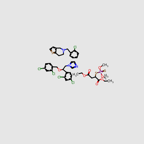 CCOC(=O)CC(SP(=S)(OC)OC)C(=O)OCC.Clc1ccc(COC(Cn2ccnc2)c2ccc(Cl)cc2Cl)c(Cl)c1.Clc1ccccc1CN1CCc2sccc2C1